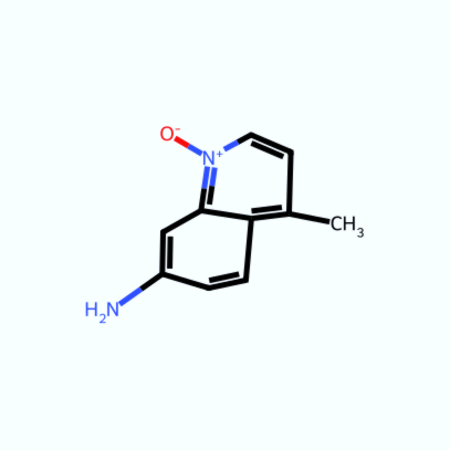 Cc1cc[n+]([O-])c2cc(N)ccc12